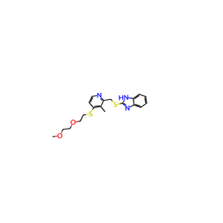 COCCOCCSc1ccnc(CSc2nc3ccccc3[nH]2)c1C